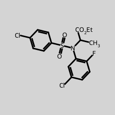 CCOC(=O)C(C)N(c1cc(Cl)ccc1F)S(=O)(=O)c1ccc(Cl)cc1